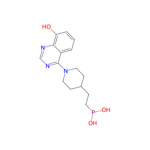 Oc1cccc2c(N3CCC(CCP(O)O)CC3)ncnc12